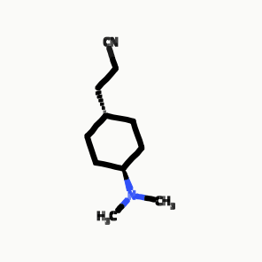 CN(C)[C@H]1CC[C@H](CCC#N)CC1